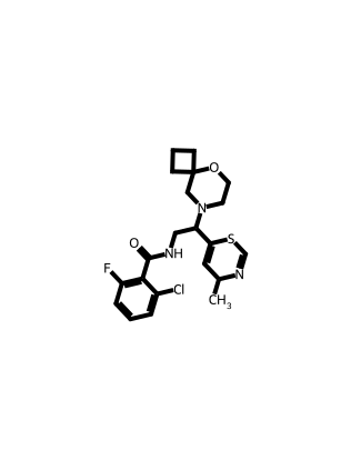 CC1C=C(C(CNC(=O)c2c(F)cccc2Cl)N2CCOC3(CCC3)C2)SC=N1